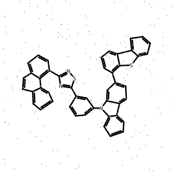 c1cc(-c2nc(-c3cccc4ccc5ccccc5c34)ns2)cc(-n2c3ccccc3c3ccc(-c4cccc5c4sc4ccccc45)cc32)c1